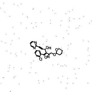 OC(C#Cc1ncccn1)c1c(COC2CCCCO2)noc1-c1ccccc1Cl